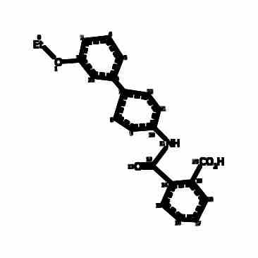 CCOc1cccc(-c2ccc(NC(=O)c3ccccc3C(=O)O)cc2)c1